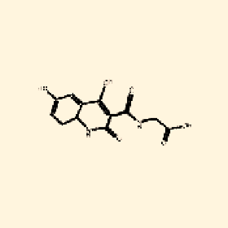 O=C(O)CNC(=O)C1=C(O)C2=CC(O)=CCC2NC1=O